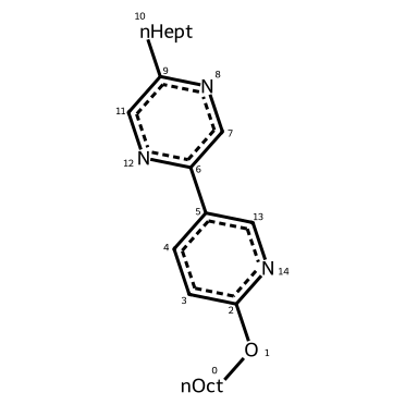 CCCCCCCCOc1ccc(-c2cnc(CCCCCCC)cn2)cn1